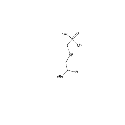 CCCCC(CCC)CNCP(=O)(O)O